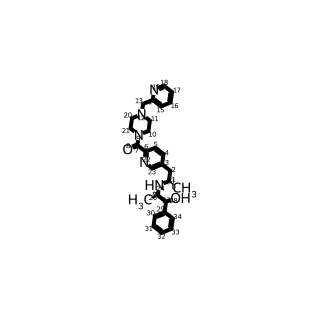 C[C@@H](Cc1ccc(C(=O)N2CCN(Cc3ccccn3)CC2)nc1)N[C@H](C)C(O)c1ccccc1